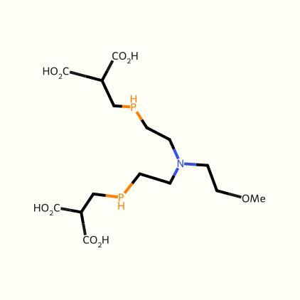 COCCN(CCPCC(C(=O)O)C(=O)O)CCPCC(C(=O)O)C(=O)O